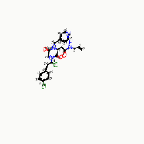 C=CCNC(=O)CC1C(=O)N(C(Cl)Cc2ccc(Cl)cc2)CC(=O)N1Cc1ccncc1